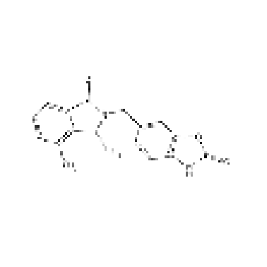 Cc1cccc2c1C(C)N(Cc1ccc3[nH]c(=O)oc3c1)C2=O